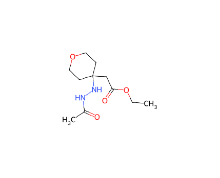 CCOC(=O)CC1(NNC(C)=O)CCOCC1